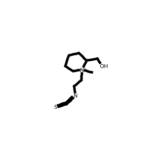 C[N+]1(CCN=C=S)CCCCC1CO